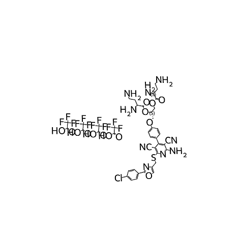 N#Cc1c(N)nc(SCc2coc(-c3ccc(Cl)cc3)n2)c(C#N)c1-c1ccc(OC[C@@H](COC(=O)[C@@H](N)CCN)OC(=O)C(N)CCN)cc1.O=C(O)C(F)(F)F.O=C(O)C(F)(F)F.O=C(O)C(F)(F)F.O=C(O)C(F)(F)F